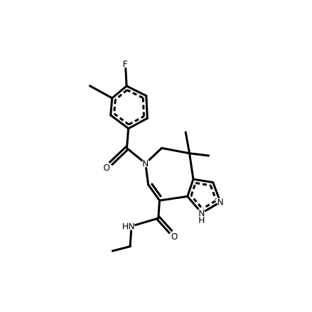 CCNC(=O)C1=CN(C(=O)c2ccc(F)c(C)c2)CC(C)(C)c2cn[nH]c21